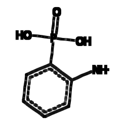 [NH]c1ccccc1P(=O)(O)O